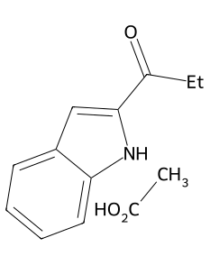 CC(=O)O.CCC(=O)c1cc2ccccc2[nH]1